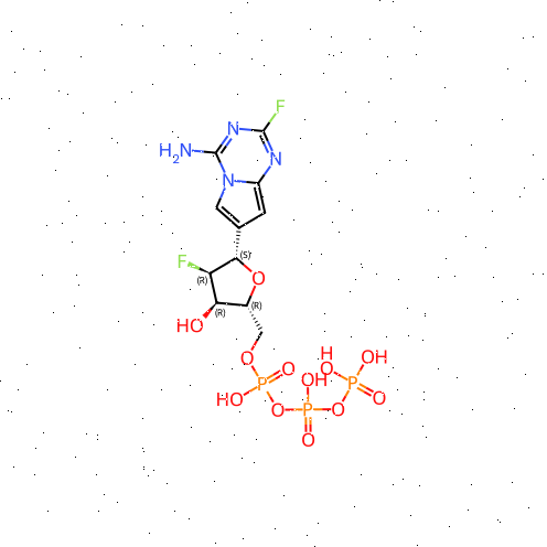 Nc1nc(F)nc2cc([C@@H]3O[C@H](COP(=O)(O)OP(=O)(O)OP(=O)(O)O)[C@@H](O)[C@H]3F)cn12